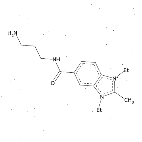 CCn1c(C)[n+](CC)c2ccc(C(=O)NCCCN)cc21